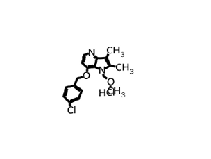 COCn1c(C)c(C)c2nccc(OCc3ccc(Cl)cc3)c21.Cl